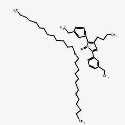 CCCCC1=C(c2cccc(CC)c2)[N+](=[N-])C(c2cccc(CC)c2)=C1.CCCCCCCCCCCC[CH2][Ni][CH2]CCCCCCCCCCCC